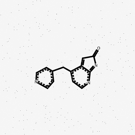 O=C1C=c2c(Cc3ccncc3)ccnc2=N1